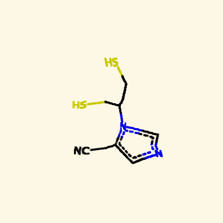 N#Cc1cncn1C(S)CS